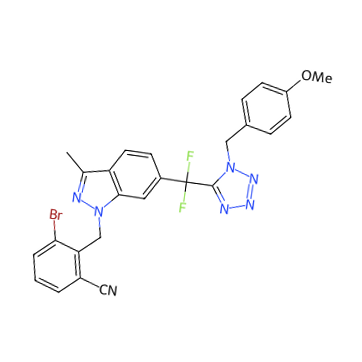 COc1ccc(Cn2nnnc2C(F)(F)c2ccc3c(C)nn(Cc4c(Br)cccc4C#N)c3c2)cc1